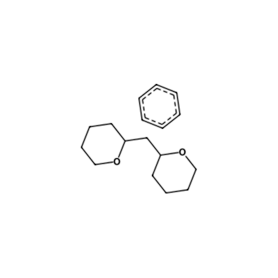 C1CCC(CC2CCCCO2)OC1.c1ccccc1